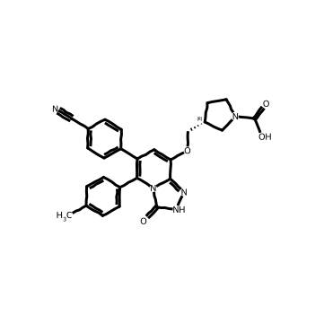 Cc1ccc(-c2c(-c3ccc(C#N)cc3)cc(OC[C@@H]3CCN(C(=O)O)C3)c3n[nH]c(=O)n23)cc1